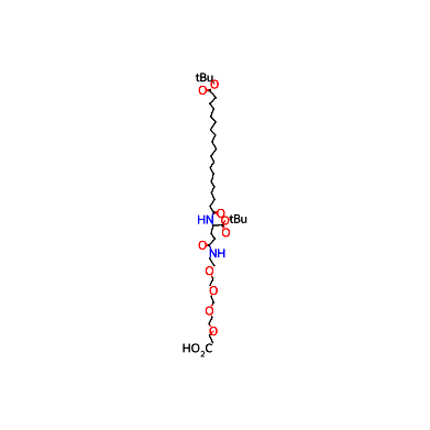 CC(C)(C)OC(=O)CCCCCCCCCCCCCCCCCCC(=O)NC(CCC(=O)NCCOCCOCCOCCOCCC(=O)O)C(=O)OC(C)(C)C